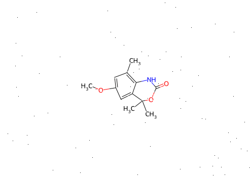 COc1cc(C)c2c(c1)C(C)(C)OC(=O)N2